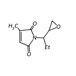 CCC(C1CO1)N1C(=O)C=C(C)C1=O